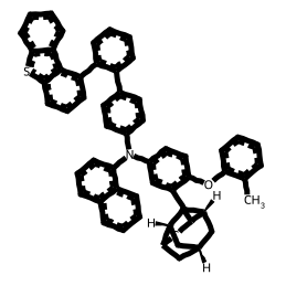 Cc1ccccc1Oc1ccc(N(c2ccc(-c3ccccc3-c3cccc4sc5ccccc5c34)cc2)c2cccc3ccccc23)cc1C1CC2C[C@@H]3C[C@H]2C[C@@H]1C3